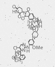 [2H]C1([2H])N(CC2CCN(c3ccc(Nc4ncc(Cl)c(Nc5ccccc5P(C)(C)=O)n4)c(OC)c3)CC2)C([2H])([2H])C([2H])([2H])N(c2ccc3c(c2)C(=O)N(C2CCC(=O)NC2=O)C3=O)C1([2H])[2H]